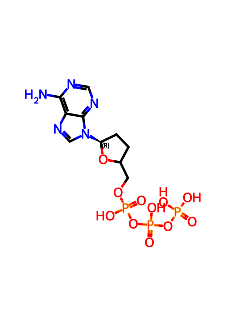 Nc1ncnc2c1ncn2[C@H]1CCC(COP(=O)(O)OP(=O)(O)OP(=O)(O)O)O1